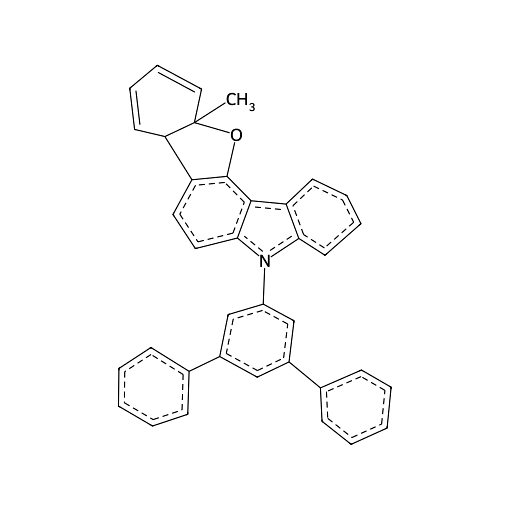 CC12C=CC=CC1c1ccc3c(c1O2)c1ccccc1n3-c1cc(-c2ccccc2)cc(-c2ccccc2)c1